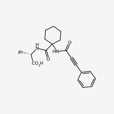 CC(C)[C@H](NC(=O)C1(NC(=O)C#Cc2ccccc2)CCCCC1)C(=O)O